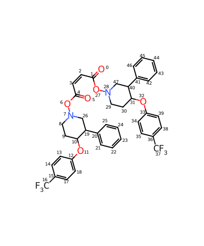 O=C(/C=C\C(=O)ON1CCC(Oc2ccc(C(F)(F)F)cc2)C(c2ccccc2)C1)ON1CCC(Oc2ccc(C(F)(F)F)cc2)C(c2ccccc2)C1